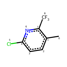 Cc1ccc(Cl)nc1C(F)(F)F